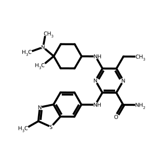 CCc1nc(C(N)=O)c(Nc2ccc3nc(C)sc3c2)nc1NC1CCC(C)(N(C)C)CC1